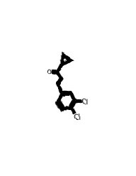 O=C(C=Cc1ccc(Cl)c(Cl)c1)C1CC1